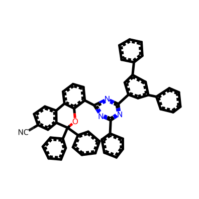 N#Cc1ccc2c(c1)C(c1ccccc1)(c1ccccc1)Oc1c(-c3nc(-c4ccccc4)nc(-c4cc(-c5ccccc5)cc(-c5ccccc5)c4)n3)cccc1-2